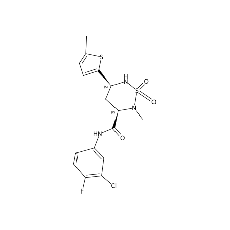 Cc1ccc([C@@H]2C[C@H](C(=O)Nc3ccc(F)c(Cl)c3)N(C)S(=O)(=O)N2)s1